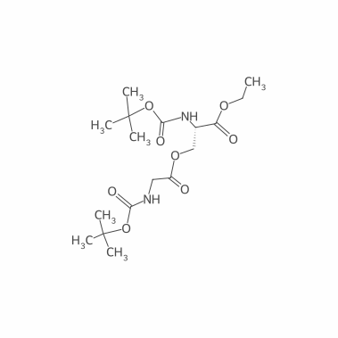 CCOC(=O)[C@H](COC(=O)CNC(=O)OC(C)(C)C)NC(=O)OC(C)(C)C